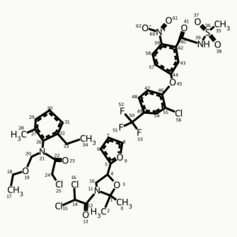 CC1(C)OC(c2ccco2)CN1C(=O)C(Cl)Cl.CCOCN(C(=O)CCl)c1c(C)cccc1CC.CS(=O)(=O)NC(=O)c1cc(Oc2ccc(C(F)(F)F)cc2Cl)ccc1[N+](=O)[O-]